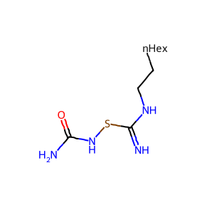 CCCCCCCCNC(=N)SNC(N)=O